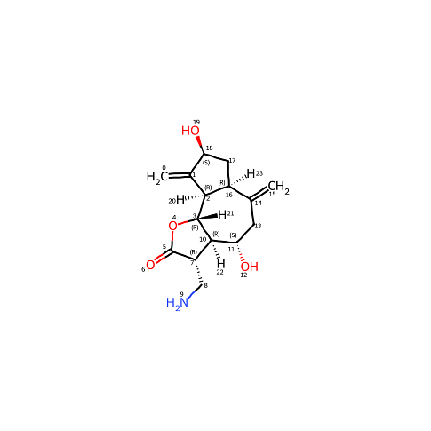 C=C1[C@@H]2[C@H]3OC(=O)[C@@H](CN)[C@@H]3[C@@H](O)CC(=C)[C@@H]2C[C@@H]1O